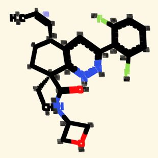 C/C=C\[C@H]1CC[C@](CC)(C(=O)NC2COC2)c2nnc(-c3c(F)cccc3F)cc21